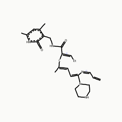 C=C/C=N\C(=CC=C(C)C/C(=C\CC)C(=O)NCc1c(C)cc(C)[nH]c1=O)N1CCNCC1